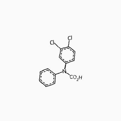 O=C(O)N(c1ccccc1)c1ccc(Cl)c(Cl)c1